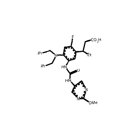 CCC(CC(=O)O)c1cc(NC(=O)Nc2cnc(OC)nc2)c(N(CC(C)C)CC(C)C)cc1F